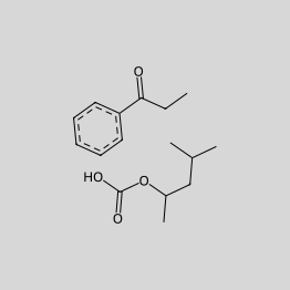 CC(C)CC(C)OC(=O)O.CCC(=O)c1ccccc1